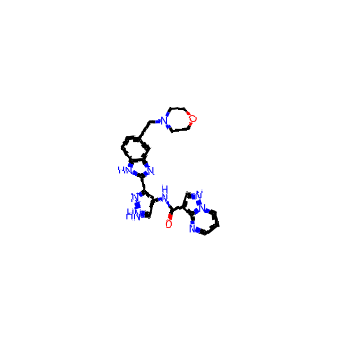 O=C(Nc1c[nH]nc1-c1nc2cc(CN3CCOCC3)ccc2[nH]1)c1cnn2cccnc12